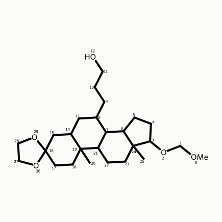 COCOC1CCC2C3C(CCCO)CC4CC5(CCC4(C)C3CCC12C)OCCO5